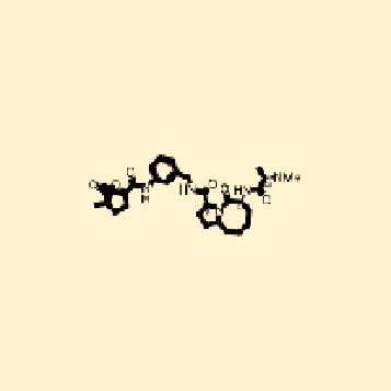 CN[C@@H](C)C(=O)N[C@H]1CCCCC2CC[C@@H](C(=O)NCc3cccc(NC(=O)C45CCC(C)(C(=O)O4)C5(C)C)c3)N2C1=O